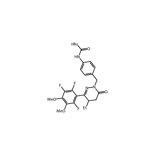 CCCCC(=O)Nc1ccc(CN2N=C(c3c(F)c(F)c(OC)c(OC)c3F)C(CC)CC2=O)cc1